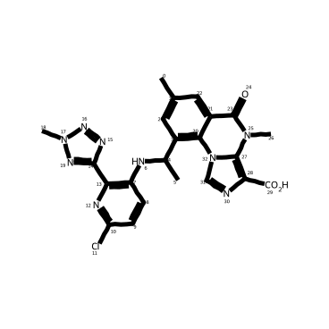 Cc1cc(C(C)Nc2ccc(Cl)nc2-c2nnn(C)n2)c2c(c1)c(=O)n(C)c1c(C(=O)O)ncn21